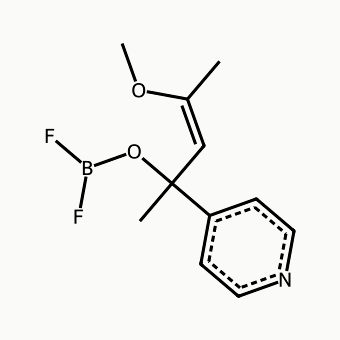 CO/C(C)=C\C(C)(OB(F)F)c1ccncc1